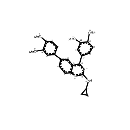 COc1ccc(-c2ccc3nc(NC4CC4)nc(-c4ccc(OC)c(OC)c4)c3c2)cc1OC